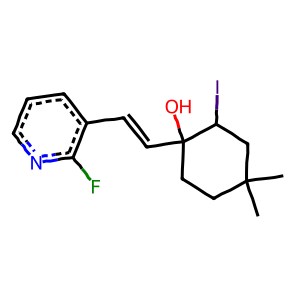 CC1(C)CCC(O)(C=Cc2cccnc2F)C(I)C1